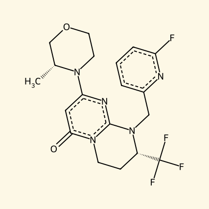 C[C@@H]1COCCN1c1cc(=O)n2c(n1)N(Cc1cccc(F)n1)[C@H](C(F)(F)F)CC2